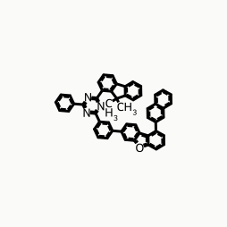 CC1(C)c2ccccc2-c2cccc(-c3nc(-c4ccccc4)nc(-c4cccc(-c5ccc6c(c5)oc5cccc(-c7ccc8ccccc8c7)c56)c4)n3)c21